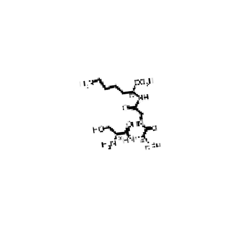 CC[C@H](C)[C@H](NC(=O)[C@@H](N)CO)C(=O)NCC(=O)N[C@@H](CCCCN)C(=O)O